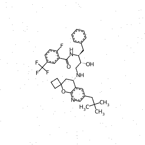 CC(C)(C)Cc1cnc2c(c1)[C@@H](NC[C@@H](O)[C@H](Cc1ccccc1)NC(=O)c1cc(C(F)(F)F)ccc1F)CC1(CCC1)O2